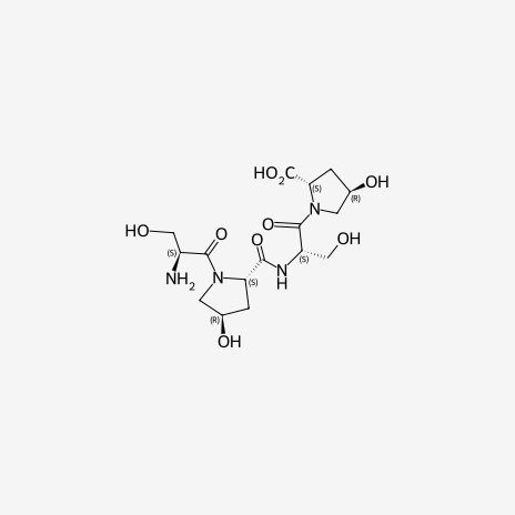 N[C@@H](CO)C(=O)N1C[C@H](O)C[C@H]1C(=O)N[C@@H](CO)C(=O)N1C[C@H](O)C[C@H]1C(=O)O